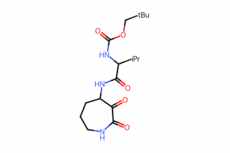 CC(C)C(NC(=O)OCC(C)(C)C)C(=O)NC1CCCNC(=O)C1=O